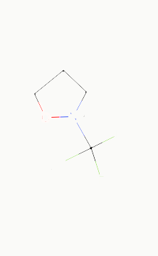 FC(F)(F)N1CCCO1